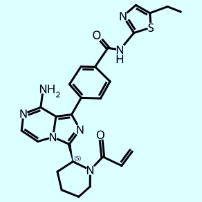 C=CC(=O)N1CCCC[C@H]1c1nc(-c2ccc(C(=O)Nc3ncc(CC)s3)cc2)c2c(N)nccn12